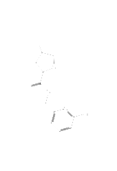 O=C(NCc1cccc(Br)n1)C1CC(F)CN1